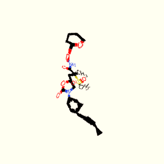 CC(CC1CN(c2ccc(C#CC3CC3)cc2)C(=O)O1)(C(=O)NOC1CCCCO1)S(C)(=O)=O